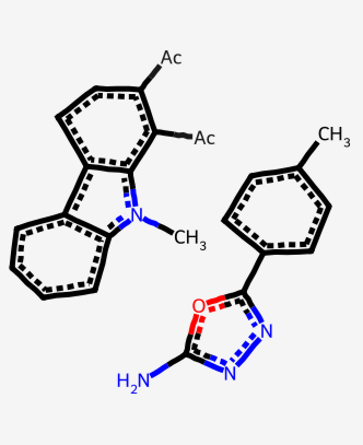 CC(=O)c1ccc2c3ccccc3n(C)c2c1C(C)=O.Cc1ccc(-c2nnc(N)o2)cc1